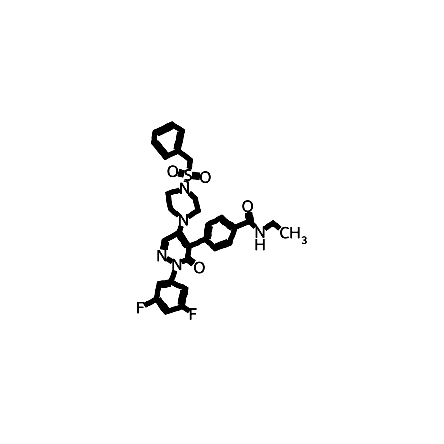 CCNC(=O)c1ccc(-c2c(N3CCN(S(=O)(=O)Cc4ccccc4)CC3)cnn(-c3cc(F)cc(F)c3)c2=O)cc1